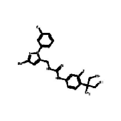 CC(C)(C)c1cc(CNC(=O)Nc2ccc(C(C)(CO)CO)c(F)c2)n(-c2cccc(Cl)c2)n1